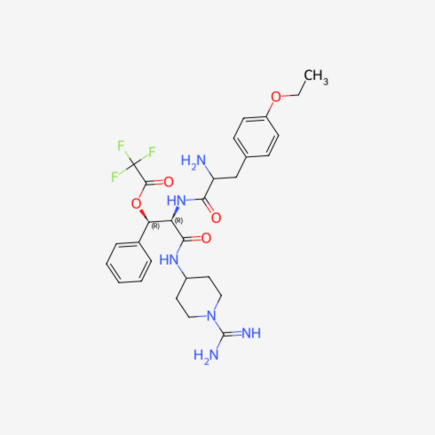 CCOc1ccc(CC(N)C(=O)N[C@@H](C(=O)NC2CCN(C(=N)N)CC2)[C@H](OC(=O)C(F)(F)F)c2ccccc2)cc1